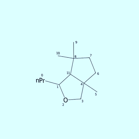 CCCC1OCC2(C)CCC(C)(C)C12